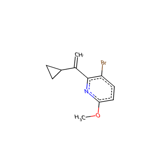 [CH]=C(c1nc(OC)ccc1Br)C1CC1